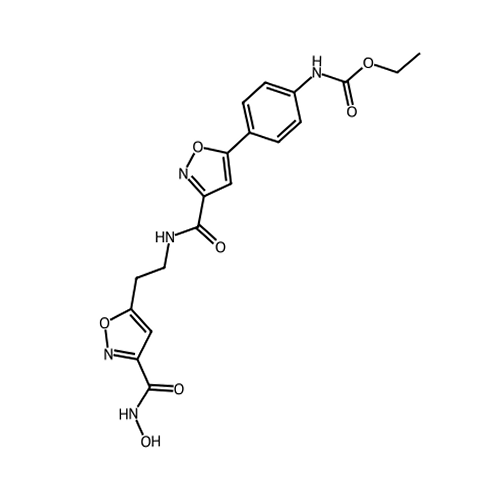 CCOC(=O)Nc1ccc(-c2cc(C(=O)NCCc3cc(C(=O)NO)no3)no2)cc1